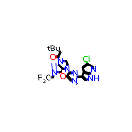 CN1C=CC(N2CCN(C(=O)CC(C)(C)C)C[C@@H]2C(=O)NCC(F)(F)F)=NC1c1c[nH]c2ncc(Cl)cc12